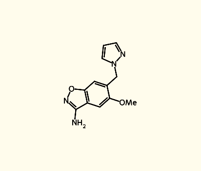 COc1cc2c(N)noc2cc1Cn1cccn1